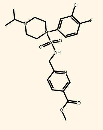 COC(=O)c1ccc(CNS(=O)(=O)[N+]2(c3ccc(F)c(Cl)c3)CCN(C(C)C)CC2)nc1